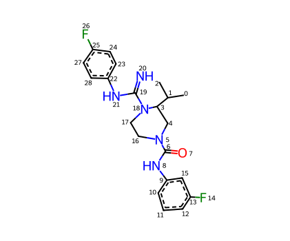 CC(C)C1CN(C(=O)Nc2cccc(F)c2)CCN1C(=N)Nc1ccc(F)cc1